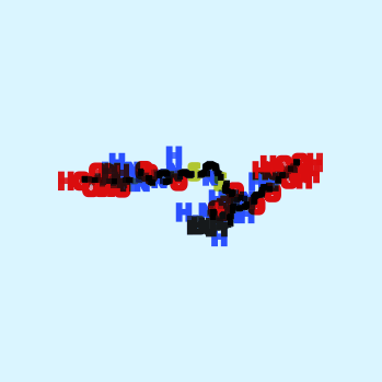 CC[C@H](C)[C@H](NC(=O)[C@H](CC(C)C)NC(=O)C1(NC(=O)CCSCc2cccc(CSCCC(=O)NC3CCN(CC(=O)N[C@H](CCC(=O)NC[C@H](O)[C@@H](O)[C@H](O)[C@H](O)CO)C(N)=O)CC3)n2)CCN(C(=O)CCCC(=O)NC[C@H](O)[C@@H](O)[C@H](O)[C@H](O)CO)CC1)C(N)=O